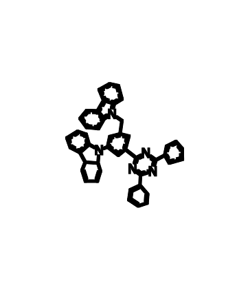 C1=C=C(c2nc(-c3ccccc3)nc(-c3cc(Cn4c5ccccc5c5ccccc54)cc(N4c5ccccc5C5C=CC=CC54)c3)n2)C=CC=1